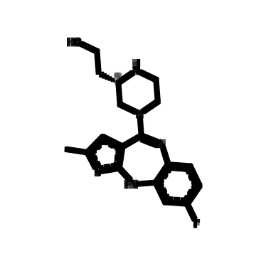 Cc1cc2c(s1)Nc1cc(F)ccc1N=C2N1CCN[C@@H](CCO)C1